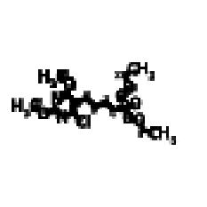 CCOOP(=O)(CCCCc1c(Cl)nc(OC)nc1OC)OOCC